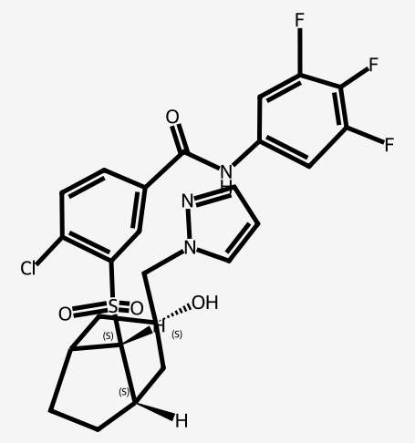 O=C(Nc1cc(F)c(F)c(F)c1)c1ccc(Cl)c(S(=O)(=O)[C@H]2C3CC[C@H]2C[C@](O)(Cn2cccn2)C3)c1